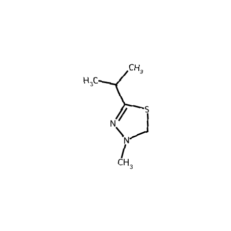 CC(C)C1=NN(C)CS1